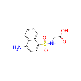 Nc1ccc(S(=O)(=O)NCC(=O)O)c2ccccc12